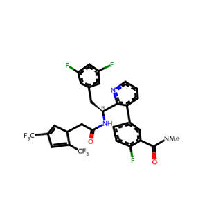 CNC(=O)c1cc(-c2cccnc2[C@H](Cc2cc(F)cc(F)c2)NC(=O)CC2C=C(C(F)(F)F)C=C2C(F)(F)F)ccc1F